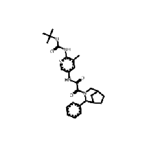 Cc1cc(NC(=O)C(=O)N2CC3CCC(C3)C2c2ccccc2)cnc1NC(=O)OC(C)(C)C